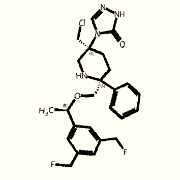 C[C@@H](OC[C@@]1(c2ccccc2)CC[C@](CCl)(n2cn[nH]c2=O)CN1)c1cc(CF)cc(CF)c1